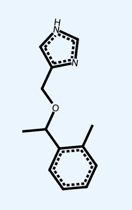 Cc1ccccc1C(C)OCc1c[nH]cn1